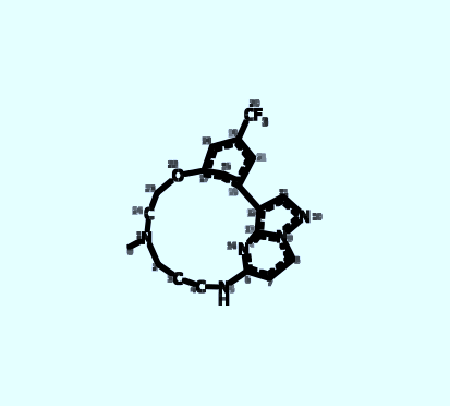 CN1CCCNc2ccn3ncc(c3n2)-c2cc(cc(C(F)(F)F)c2)OCC1